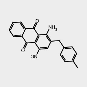 Cc1ccc(Cc2cc(N=O)c3c(c2N)C(=O)c2ccccc2C3=O)cc1